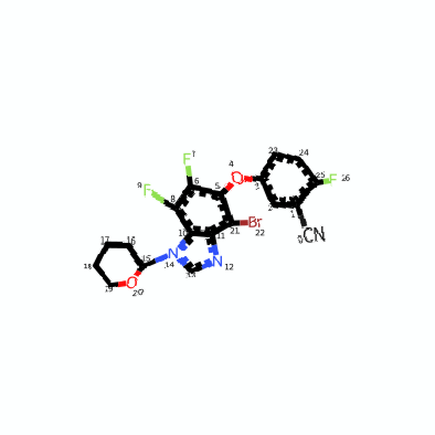 N#Cc1cc(Oc2c(F)c(F)c3c(ncn3C3CCCCO3)c2Br)ccc1F